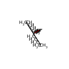 CC(C)=CCC/C(C)=C/C=C/C(C)=C/C=C/C(C)=C/C=C/C=C(C)/C=C/C=C(C)/C=C/C=C(\C)CCC=C(C)C.[H+].[H+].[H+].[H+].[H+].[H+].[H+].[H+]